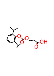 CC(C)c1cccc(C(C)C)c1OC(=O)OCCC(=O)O